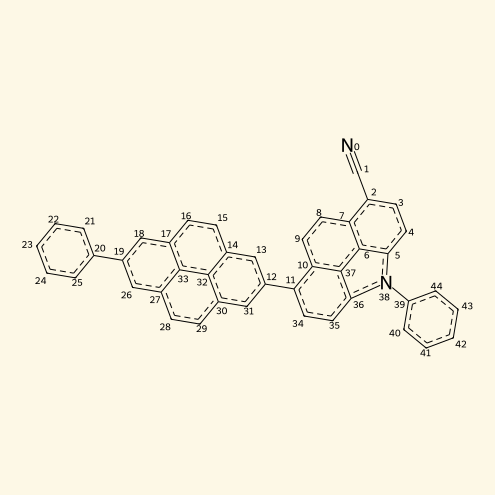 N#Cc1ccc2c3c1ccc1c(-c4cc5ccc6cc(-c7ccccc7)cc7ccc(c4)c5c67)ccc(c13)n2-c1ccccc1